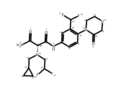 NC(=O)[C@H](C(=O)Nc1ccc(N2CCOCC2=O)c(C(F)F)c1)N(CC(F)F)CC1CC1